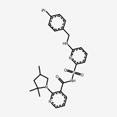 CC1CN(c2ncccc2C(=O)NS(=O)(=O)c2cccc(NCc3ccc(C(C)C)cc3)n2)C(C)(C)C1